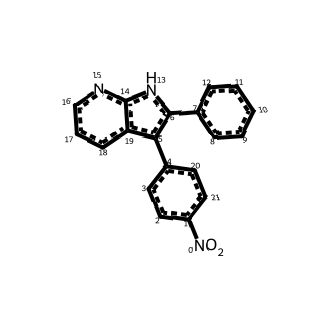 O=[N+]([O-])c1ccc(-c2c(-c3ccccc3)[nH]c3ncccc23)cc1